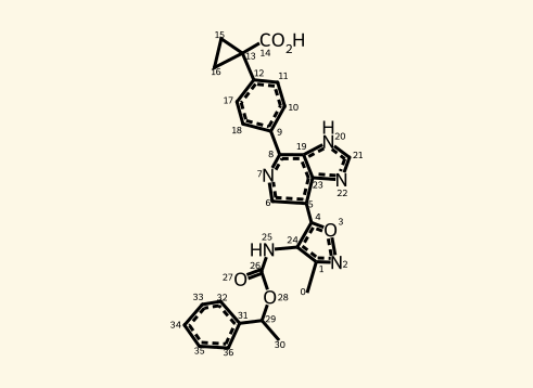 Cc1noc(-c2cnc(-c3ccc(C4(C(=O)O)CC4)cc3)c3[nH]cnc23)c1NC(=O)OC(C)c1ccccc1